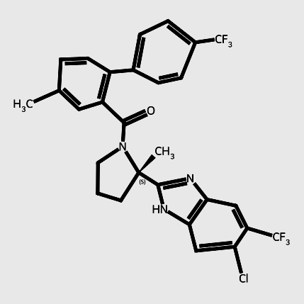 Cc1ccc(-c2ccc(C(F)(F)F)cc2)c(C(=O)N2CCC[C@@]2(C)c2nc3cc(C(F)(F)F)c(Cl)cc3[nH]2)c1